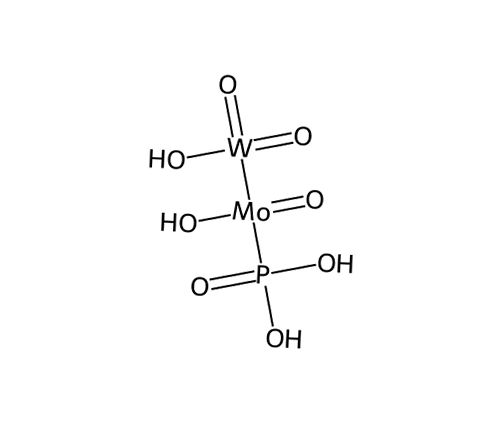 O=[P](O)(O)[Mo](=[O])([OH])[W](=[O])(=[O])[OH]